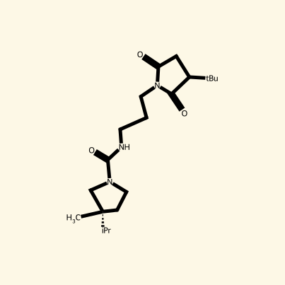 CC(C)[C@@]1(C)CCN(C(=O)NCCCN2C(=O)CC(C(C)(C)C)C2=O)C1